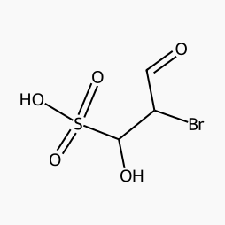 O=CC(Br)C(O)S(=O)(=O)O